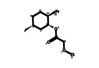 CCOCC(=O)O[C@@H]1C[C@H](C)CC[C@H]1C(C)C